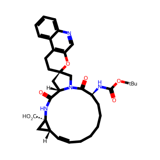 CC(C)(C)OC(=O)N[C@H]1CCCCCC=C[C@@H]2C[C@@]2(C(=O)O)NC(=O)[C@@H]2C[C@]3(CCc4c(cnc5ccccc45)O3)CN2C1=O